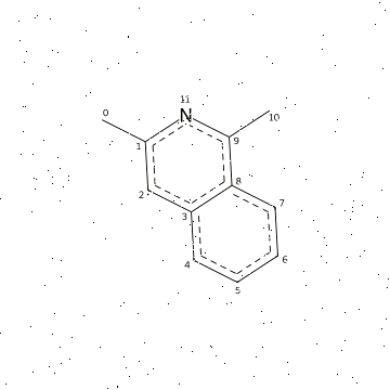 Cc1[c]c2ccccc2c(C)n1